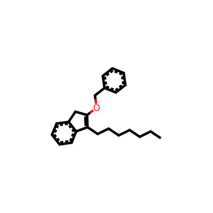 CCCCCCCC1=C(OCc2ccccc2)Cc2ccccc21